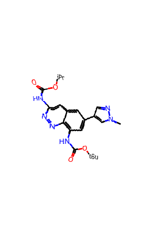 CC(C)OC(=O)Nc1cc2cc(-c3cnn(C)c3)cc(NC(=O)OC(C)(C)C)c2nn1